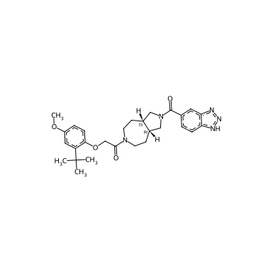 COc1ccc(OCC(=O)N2CC[C@@H]3CN(C(=O)c4ccc5[nH]nnc5c4)C[C@@H]3CC2)c(C(C)(C)C)c1